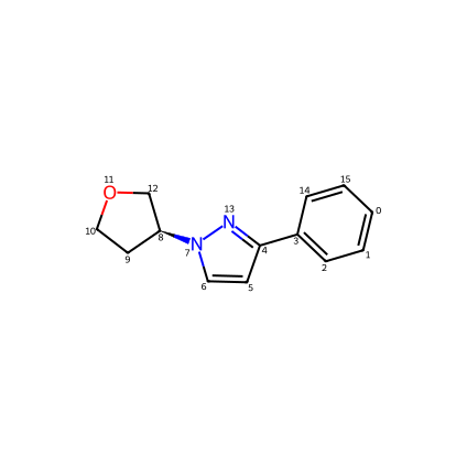 c1ccc(-c2ccn([C@H]3CCOC3)n2)cc1